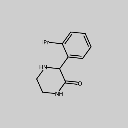 CC(C)c1ccccc1C1NCCNC1=O